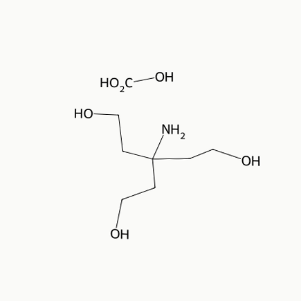 NC(CCO)(CCO)CCO.O=C(O)O